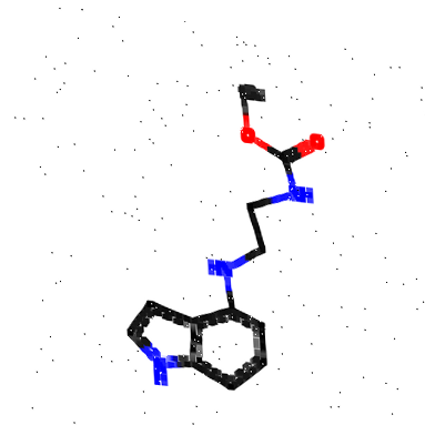 CC(C)(C)OC(=O)NCCNc1cccc2[nH]ccc12